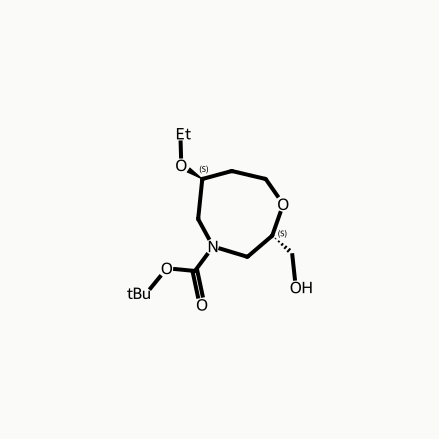 CCO[C@H]1CCO[C@H](CO)CN(C(=O)OC(C)(C)C)C1